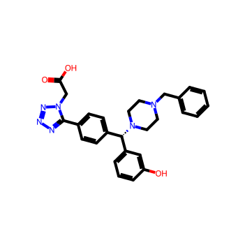 O=C(O)Cn1nnnc1-c1ccc([C@@H](c2cccc(O)c2)N2CCN(Cc3ccccc3)CC2)cc1